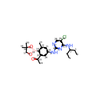 CCC(CC)Nc1nc(Nc2cc(C)c(B3OCC(C)(C)O3)c(C(C)=O)c2)ncc1Cl